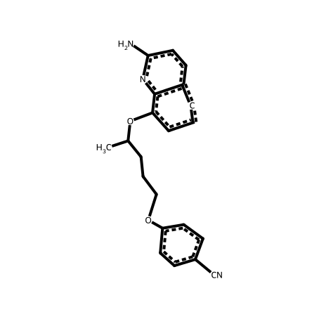 CC(CCCOc1ccc(C#N)cc1)Oc1cccc2ccc(N)nc12